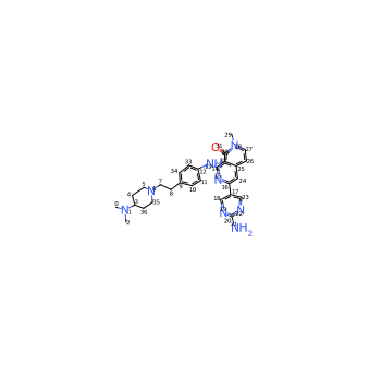 CN(C)C1CCN(CCc2ccc(Nc3nc(-c4cnc(N)nc4)cc4ccn(C)c(=O)c34)cc2)CC1